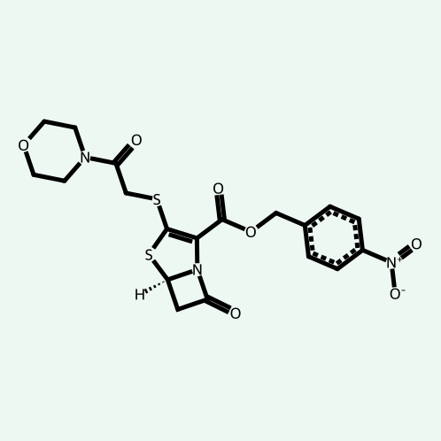 O=C(OCc1ccc([N+](=O)[O-])cc1)C1=C(SCC(=O)N2CCOCC2)S[C@@H]2CC(=O)N12